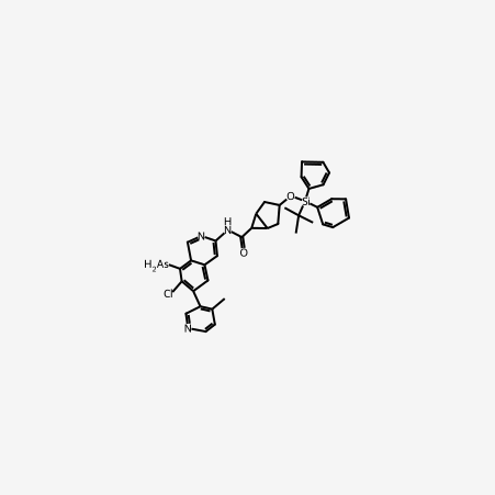 Cc1ccncc1-c1cc2cc(NC(=O)C3C4CC(O[Si](c5ccccc5)(c5ccccc5)C(C)(C)C)CC43)ncc2c([AsH2])c1Cl